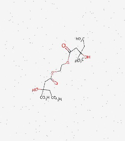 O=C(O)CC(O)(CC(=O)OCCOC(=O)CC(O)(CC(=O)O)C(=O)O)C(=O)O